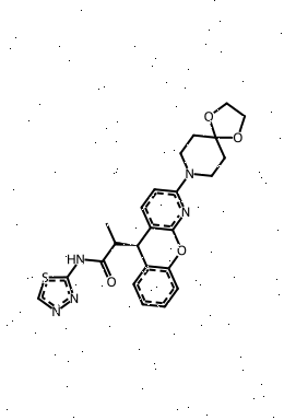 CC(C(=O)Nc1nncs1)[C@@H]1c2ccccc2Oc2nc(N3CCC4(CC3)OCCO4)ccc21